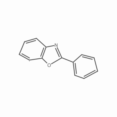 [c]1cccc2nc(-c3ccccc3)oc12